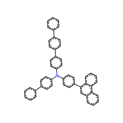 c1ccc(-c2ccc(-c3ccc(N(c4ccc(-c5ccccc5)cc4)c4ccc(-c5cc6ccccc6c6ccccc56)cc4)cc3)cc2)cc1